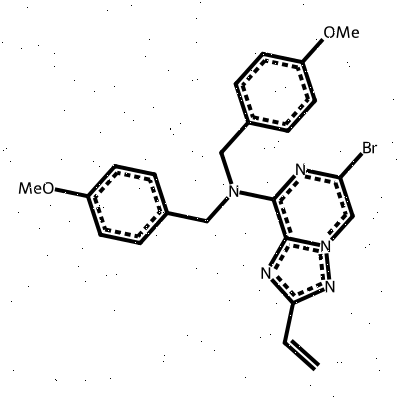 C=Cc1nc2c(N(Cc3ccc(OC)cc3)Cc3ccc(OC)cc3)nc(Br)cn2n1